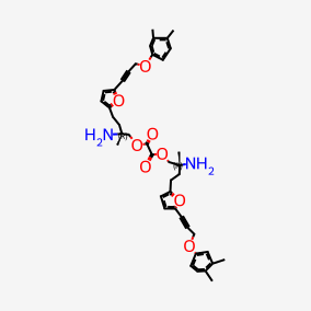 Cc1ccc(OCC#Cc2ccc(CC[C@@](C)(N)COC(=O)C(=O)OC[C@](C)(N)CCc3ccc(C#CCOc4ccc(C)c(C)c4)o3)o2)cc1C